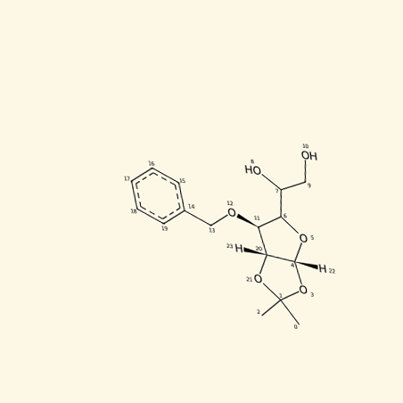 CC1(C)O[C@H]2OC(C(O)CO)[C@H](OCc3ccccc3)[C@H]2O1